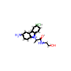 CC(C(=O)NCCO)n1c2ccccc2c2cc(N)ccc21.Cl